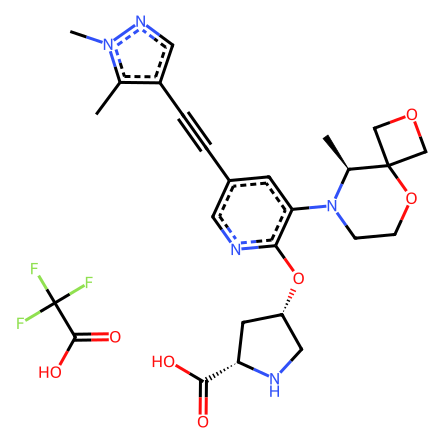 Cc1c(C#Cc2cnc(O[C@@H]3CN[C@H](C(=O)O)C3)c(N3CCOC4(COC4)[C@@H]3C)c2)cnn1C.O=C(O)C(F)(F)F